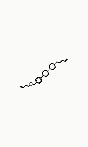 C=CCCC[C@H]1CC[C@H](C2CCC(c3ccc(COCCC=C)cc3)CC2)CC1